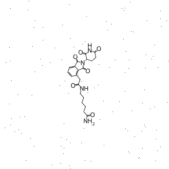 NC(=O)CCCCCNC(=O)Cc1cccc2c1C(=O)N(C1CCC(=O)NC1=O)C2=O